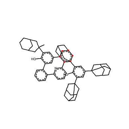 CC1(c2cc(C34CC5CC(CC(C5)C3)C4)cc(-c3ccccc3-c3cccc(-c4ccccc4-c4cc(C56CC7CC(CC(C7)C5)C6)cc(C56CC7CC(CC(C7)C5)C6)c4O)n3)c2O)CC2CCCC(C2)C1